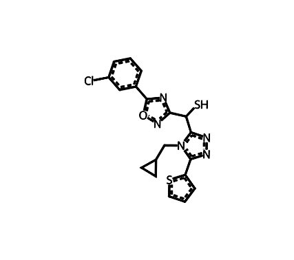 SC(c1noc(-c2cccc(Cl)c2)n1)c1nnc(-c2cccs2)n1CC1CC1